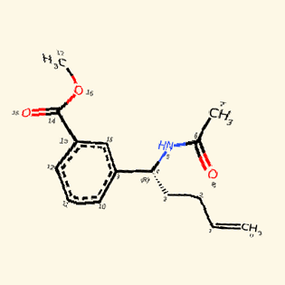 C=CCC[C@@H](NC(C)=O)c1cccc(C(=O)OC)c1